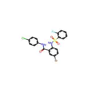 O=C(Nc1ccc(Cl)cc1)c1cc(Br)ccc1NS(=O)(=O)c1ccccc1F